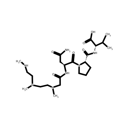 CNCCN(C)CCN(C)CC(=O)N[C@@H](CC(N)=O)C(=O)N1CCC[C@H]1C(=O)N[C@H](C(=O)O)C(C)C